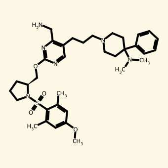 COc1cc(C)c(S(=O)(=O)N2CCC[C@H]2COc2ncc(CCCN3CCC(c4ccccc4)(N(C)C)CC3)c(CN)n2)c(C)c1